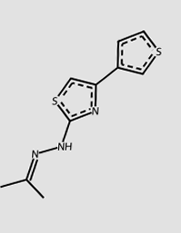 CC(C)=NNc1nc(-c2ccsc2)cs1